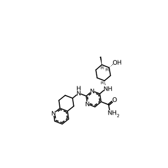 C[C@@H]1CC[C@@H](Nc2nc(NC3CCc4ncccc4C3)ncc2C(N)=O)C[C@H]1O